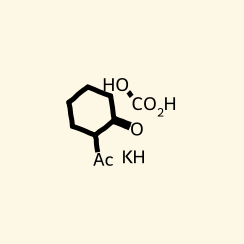 CC(=O)C1CCCCC1=O.O=C(O)O.[KH]